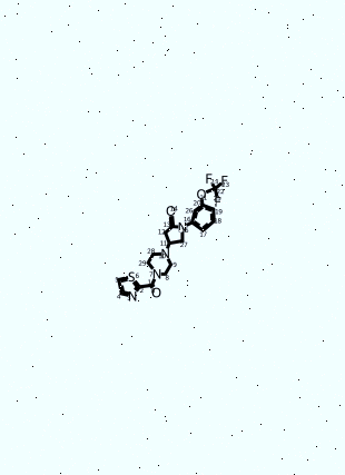 O=C(c1nccs1)N1CCN(C2CC(=O)N(c3cccc(OC(F)(F)F)c3)C2)CC1